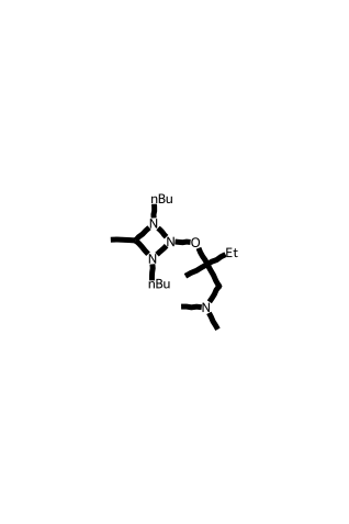 CCCCN1C(C)N(CCCC)N1OC(C)(CC)CN(C)C